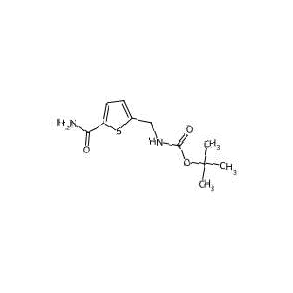 CC(C)(C)OC(=O)NCc1ccc(C(N)=O)s1